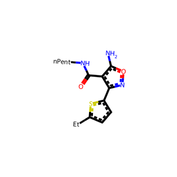 CCCCCNC(=O)c1c(-c2ccc(CC)s2)noc1N